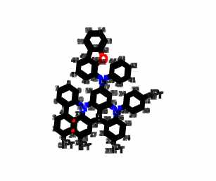 CC(C)c1ccc(-c2ccccc2N2c3ccc(C(C)C)cc3B3c4cc(C(C)C)ccc4N(c4ccc(C(C)C)cc4)c4cc(N(c5ccccc5)c5cccc6c5oc5ccccc56)cc2c43)cc1